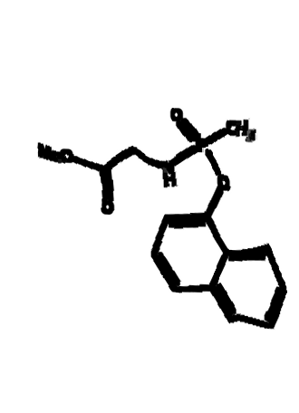 COC(=O)CNP(C)(=O)Oc1cccc2ccccc12